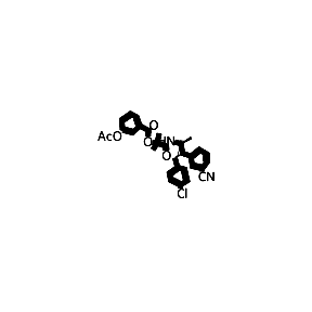 CC(=O)Oc1cccc(C(=O)OC(C)(C)C(=O)N[C@@H](C)[C@@H](Cc2ccc(Cl)cc2)c2cccc(C#N)c2)c1